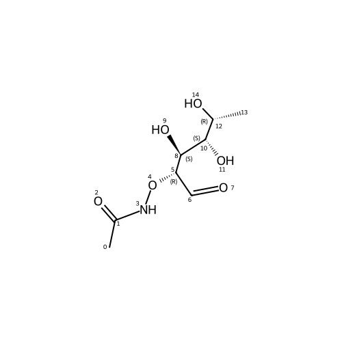 CC(=O)NO[C@@H](C=O)[C@@H](O)[C@@H](O)[C@@H](C)O